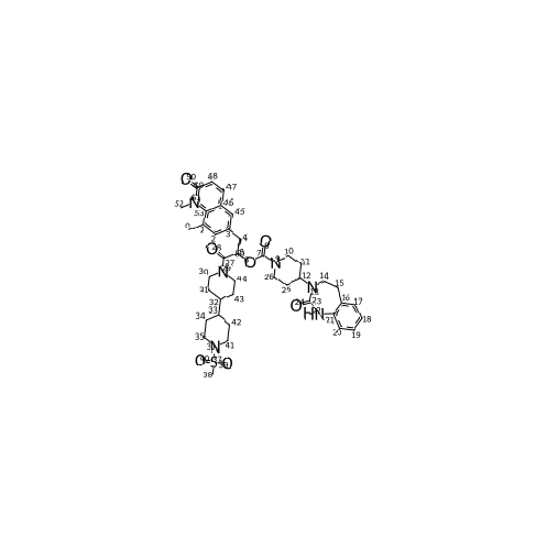 Cc1cc(C[C@@H](OC(=O)N2CCC(N3CCc4ccccc4NC3=O)CC2)C(=O)N2CCC(C3CCN(S(C)(=O)=O)CC3)CC2)cc2ccc(=O)n(C)c12